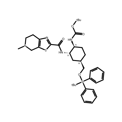 CN1CCc2nc(C(=O)N[C@H]3C[C@H](CO[Si](c4ccccc4)(c4ccccc4)C(C)(C)C)CC[C@@H]3NC(=O)OC(C)(C)C)sc2C1